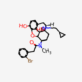 CN(C(=O)Cc1ccccc1Br)C1CC[C@@]2(O)[C@H]3Cc4ccc(O)c5c4[C@@]2(CCN3CC2CC2)C1O5